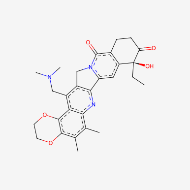 CC[C@@]1(O)C(=O)CCc2c1cc1n(c2=O)Cc2c-1nc1c(C)c(C)c3c(c1c2CN(C)C)OCCO3